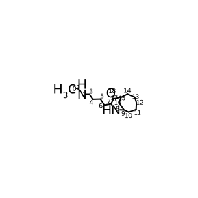 CCNCCCCC1NC2CCCCCC(C2)C1=O